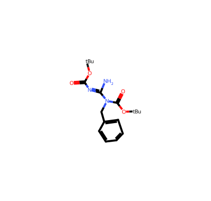 CC(C)(C)OC(=O)N=C(N)N(Cc1ccccc1)C(=O)OC(C)(C)C